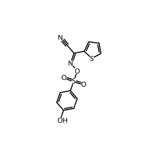 N#CC(=NOS(=O)(=O)c1ccc(O)cc1)c1cccs1